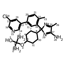 BC(B)(O)OC1CCC(C2(c3cc(-c4cncc(Cl)c4)ccc3C)N=C(C)C(N)=N2)CC1